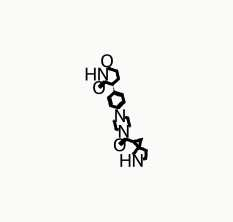 O=C1CC[C@H](c2ccc(N3CCN(C(=O)C4CC45CCNC5)CC3)cc2)C(=O)N1